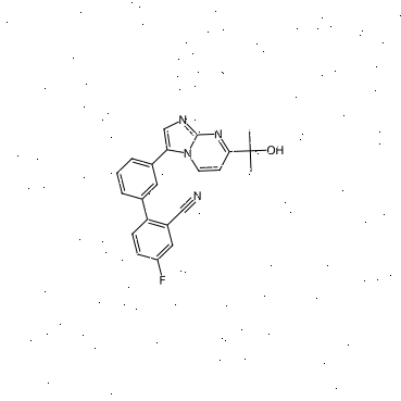 CC(C)(O)c1ccn2c(-c3cccc(-c4ccc(F)cc4C#N)c3)cnc2n1